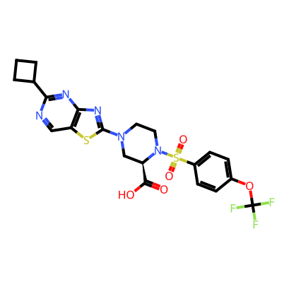 O=C(O)[C@H]1CN(c2nc3nc(C4CCC4)ncc3s2)CCN1S(=O)(=O)c1ccc(OC(F)(F)F)cc1